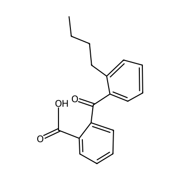 CCCCc1ccccc1C(=O)c1ccccc1C(=O)O